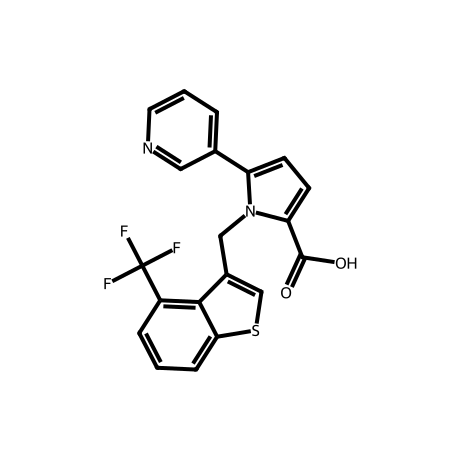 O=C(O)c1ccc(-c2cccnc2)n1Cc1csc2cccc(C(F)(F)F)c12